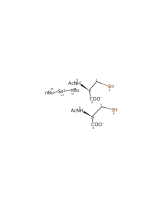 CC(=O)N[C@@H](CS)C(=O)[O-].CC(=O)N[C@@H](CS)C(=O)[O-].CCC[CH2][Sn+2][CH2]CCC